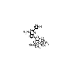 CC[C@H]1OC(n2cnc3c(N)nc(-c4cn[nH]c4)nc32)[C@H](O[Si](C)(C)C(C)(C)C)[C@@H]1O[Si](C)(C)C(C)(C)C